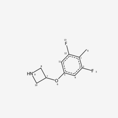 Cc1c(F)cc(OC2CNC2)cc1F